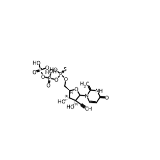 C#C[C@]1(O)C(N2C=CC(=O)NC2=C)O[C@H](COP(O)(=S)OP(=O)(O)OP(=O)(O)O)[C@H]1O